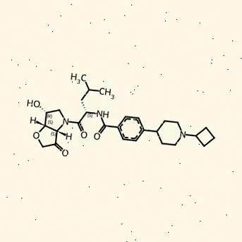 CC(C)C[C@H](NC(=O)c1ccc(C2CCN(C3CCC3)CC2)cc1)C(=O)N1C[C@@H](O)[C@H]2OCC(=O)[C@H]21